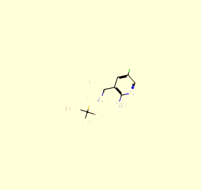 C[C@@H](N[S@+]([O-])C(C)(C)C)c1cc(Cl)cnc1N